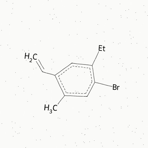 C=Cc1cc(CC)c(Br)cc1C